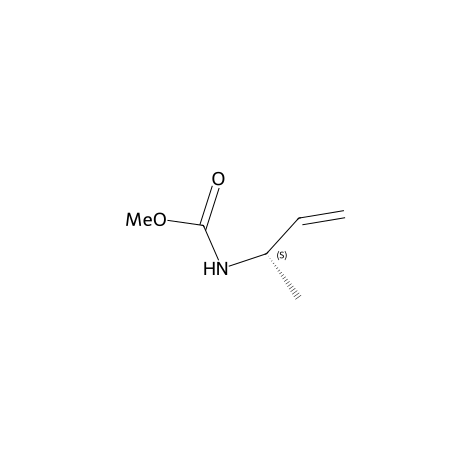 C=C[C@H](C)NC(=O)OC